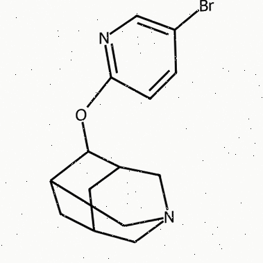 Brc1ccc(OC2C3CC4CC2CN(C4)C3)nc1